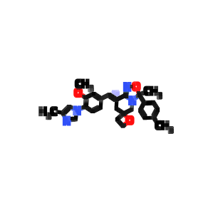 COc1cc(/C=C2\CC3(CCO3)CN3C2=NOC3(C)c2ccc(C)cc2)ccc1-n1cnc(C)c1